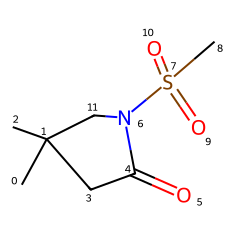 CC1(C)CC(=O)N(S(C)(=O)=O)C1